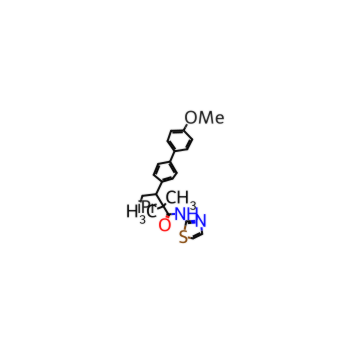 COc1ccc(-c2ccc(C(CC(C)C)C(C)(C)C(=O)Nc3nccs3)cc2)cc1